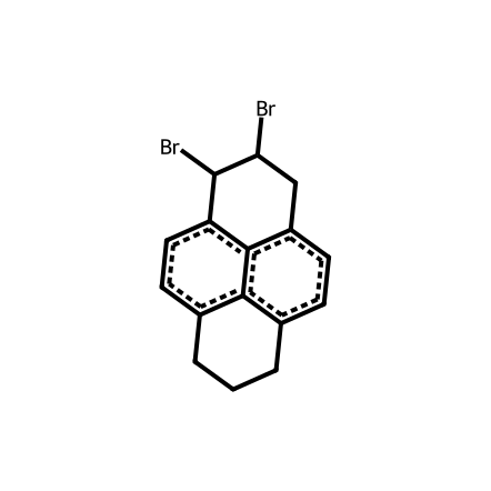 BrC1Cc2ccc3c4c(ccc(c24)C1Br)CCC3